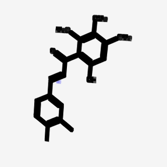 COc1cc(O)c(C(=O)/C=C/c2ccc(C)c(C)c2)c(OC)c1OC